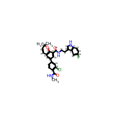 CNC(=O)c1ccc(-c2cc3c(c(C(=O)NCCc4c[nH]c5ccc(F)cc45)c2)OC(C)(C)C=C3)cc1Cl